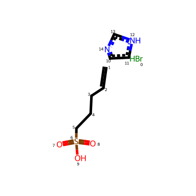 Br.C=CCCCS(=O)(=O)O.c1c[nH]cn1